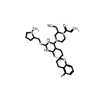 C=CC(=O)N1CCN(C2NC(OCC3CCCN3C)NC3C[C@]4(CCc5c(F)cccc5O4)CCC32)CC1CC#N